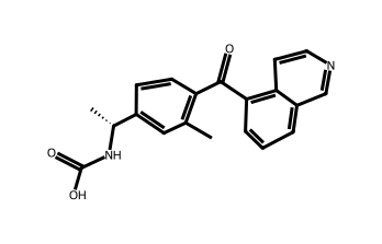 Cc1cc([C@@H](C)NC(=O)O)ccc1C(=O)c1cccc2cnccc12